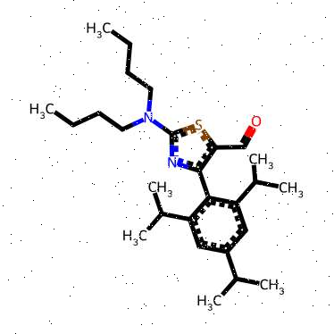 CCCCN(CCCC)c1nc(-c2c(C(C)C)cc(C(C)C)cc2C(C)C)c(C=O)s1